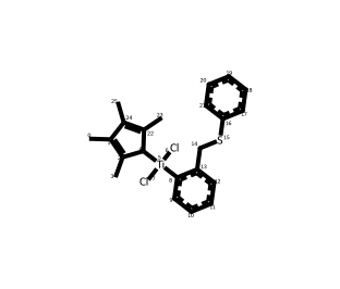 CC1=C(C)[CH]([Ti]([Cl])([Cl])[c]2ccccc2CSc2ccccc2)C(C)=C1C